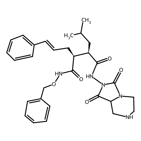 CC(C)C[C@@H](C(=O)NN1C(=O)C2CNCCN2C1=O)[C@H](C/C=C/c1ccccc1)C(=O)NOCc1ccccc1